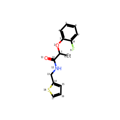 CCC(Oc1ccccc1F)C(=O)NCc1cccs1